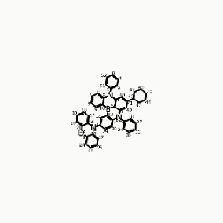 c1ccc(N2c3ccccc3B3c4cc(N5c6ccccc6Oc6ccccc65)ccc4N(c4ccccc4)c4cc(C5CCCCC5)cc2c43)cc1